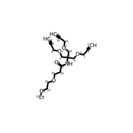 C#CCOCC(COCC#C)(COCC#C)NC(=O)CCOCCOCC